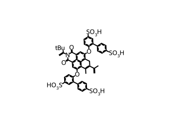 C=C(C)C1=C(C)c2c(Oc3ccc(S(=O)(=O)O)cc3-c3ccc(S(=O)(=O)O)cc3)cc3c4c(cc(Oc5ccc(S(=O)(=O)O)cc5-c5ccc(S(=O)(=O)O)cc5)c(c24)C1)C(=O)N(C(=C)C(C)(C)C)C3=O